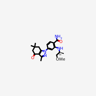 COC[C@H](C)Nc1cc(-n2nc(C)c3c2CC(C)(C)CC3=O)ccc1C(N)=O